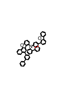 c1ccc(-c2cccc(-c3cc4c(oc5cccc(N(c6ccc(-c7cccc8c7oc7ccccc78)cc6)c6ccccc6-c6ccccc6)c54)c4ccccc34)c2)cc1